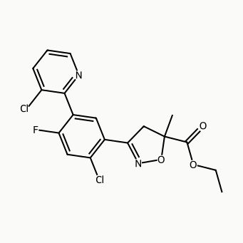 CCOC(=O)C1(C)CC(c2cc(-c3ncccc3Cl)c(F)cc2Cl)=NO1